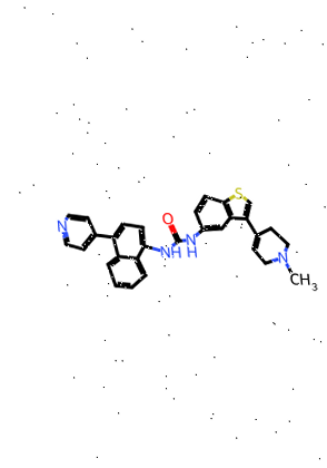 CN1CC=C(c2csc3ccc(NC(=O)Nc4ccc(-c5ccncc5)c5ccccc45)cc23)CC1